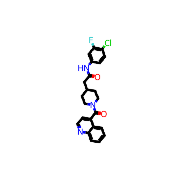 O=C(CC1CCN(C(=O)c2ccnc3ccccc23)CC1)Nc1ccc(Cl)c(F)c1